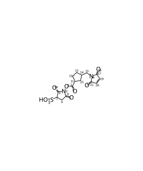 O=C(ON1C(=O)CC(S(=O)(=O)O)C1=O)C1CCC(CN2C(=O)C=CC2=O)C1